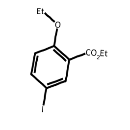 CCOC(=O)c1cc(I)ccc1OCC